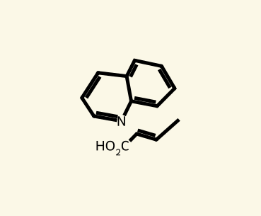 CC=CC(=O)O.c1ccc2ncccc2c1